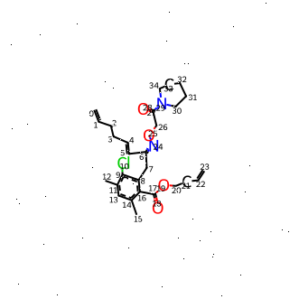 C=CCC/C=C/C(Cc1c(Cl)c(C)cc(C)c1C(=O)OCCC=C)=N\OCC(=O)N1CCCCC1